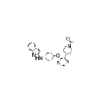 CC(=O)N1CCC(c2nccnc2OC2CCC(Nc3nc4ccccc4s3)CC2)CC1